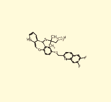 CC(C)(CC(=O)O)SC1C2=CC=CNC2=COc2ccc(OCc3ccc4cc(F)c(F)cc4n3)cc21